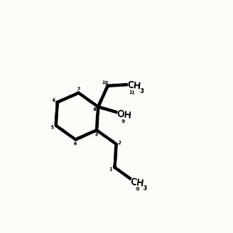 CCCC1CCCCC1(O)CC